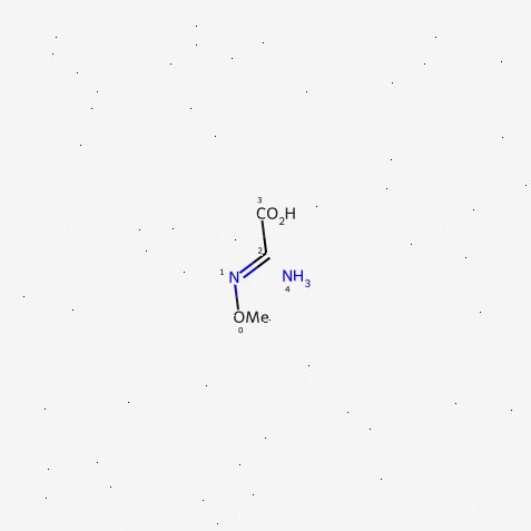 CON=CC(=O)O.N